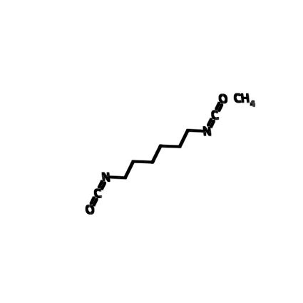 C.O=C=NCCCCCCN=C=O